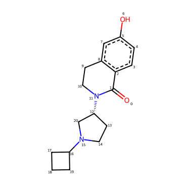 O=C1c2ccc(O)cc2CCN1[C@@H]1CCN(C2CCC2)C1